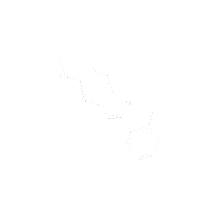 CNc1ncc2[nH]c(-c3ccccc3C)cc2n1